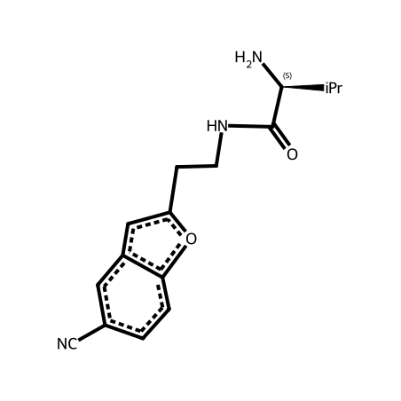 CC(C)[C@H](N)C(=O)NCCc1cc2cc(C#N)ccc2o1